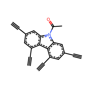 C#Cc1cc(C#C)c2c3c(C#C)cc(C#C)cc3n(C(C)=O)c2c1